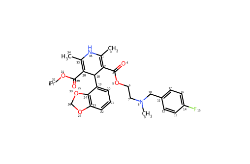 CC1=C(C(=O)OCCN(C)Cc2ccc(F)cc2)C(c2cccc3c2OCO3)C(C(=O)OC(C)C)=C(C)N1